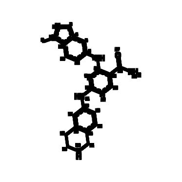 Cn1ncc2cc(Nc3nc(Nc4ccc5c(c4)CCNC5)ncc3C(N)=O)ccc21